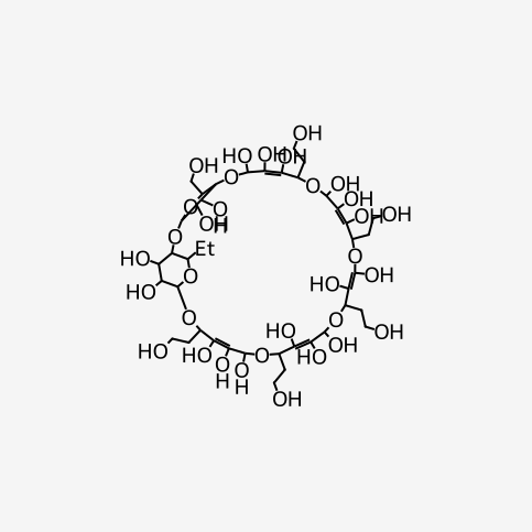 CCC1OC2OC(CCO)/C(O)=C(/O)C(O)OC(CCO)/C(O)=C(\O)C(O)OC(CCO)/C(O)=C(\O)OC(CCO)/C(O)=C(/O)C(O)OC(CCO)/C(O)=C(/O)C(O)OC3C(CO)OC(OC1C(O)C2O)C(O)C3O